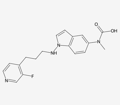 CN(C(=O)O)c1ccc2c(ccn2NCCCc2ccncc2F)c1